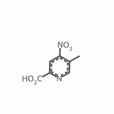 Cc1cnc(C(=O)O)cc1[N+](=O)[O-]